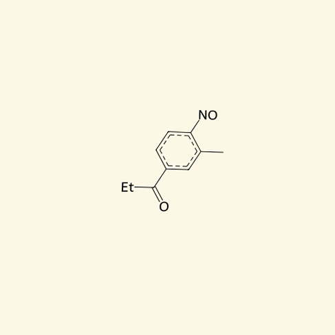 CCC(=O)c1ccc(N=O)c(C)c1